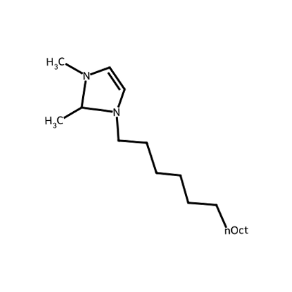 CCCCCCCCCCCCCCN1C=CN(C)C1C